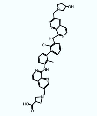 Cc1c(Nc2nccc3cc(CN4CC(C(=O)O)C4)cnc23)cccc1-c1cccc(Nc2nccc3cc(CN4CCC(O)C4)cnc23)c1Cl